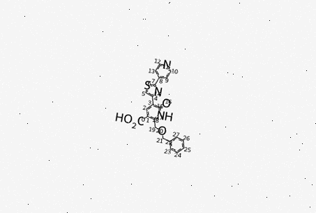 O=C(O)c1cc(-c2csc(-c3ccncc3)n2)c(=O)[nH]c1COCc1ccccc1